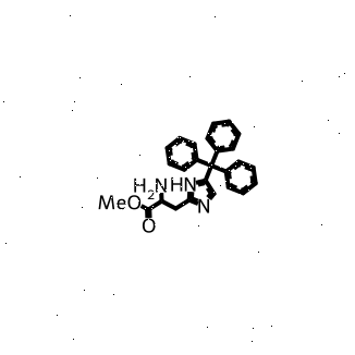 COC(=O)C(N)Cc1ncc(C(c2ccccc2)(c2ccccc2)c2ccccc2)[nH]1